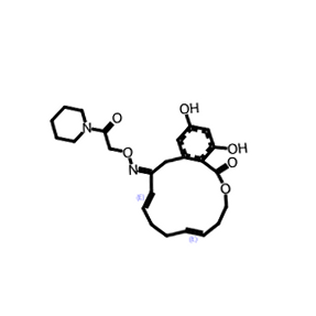 O=C1OCC/C=C/CC/C=C/C(=NOCC(=O)N2CCCCC2)Cc2cc(O)cc(O)c21